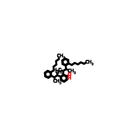 CCCCCCc1ccccc1C(C)C(C)c1cccc(O)c1C(C)C(C)c1ccccc1CCCCCC